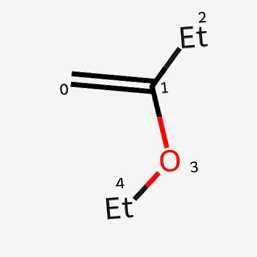 C=C(CC)OCC